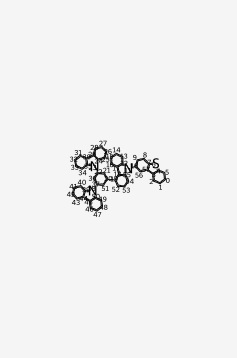 c1ccc2c(c1)sc1ccc(-n3c4ccccc4c4c(-c5cc(-n6c7ccccc7c7ccccc76)cc(-n6c7ccccc7c7ccccc76)c5)cccc43)cc12